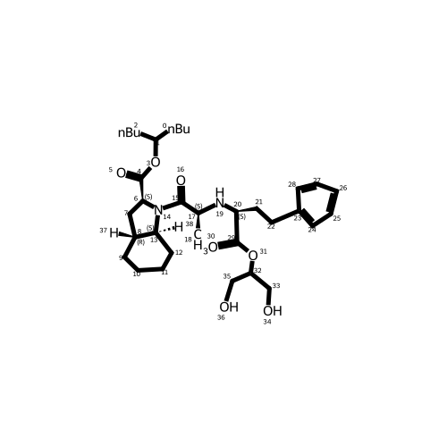 CCCCC(CCCC)OC(=O)[C@@H]1C[C@H]2CCCC[C@@H]2N1C(=O)[C@H](C)N[C@@H](CCc1ccccc1)C(=O)OC(CO)CO